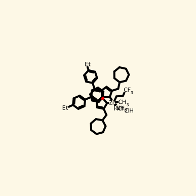 CCc1ccc(-c2cccc3c2C=C(CC2CCCCCC2)[CH]3[Zr]([CH3])(=[SiH2])([CH2]CC(F)(F)F)[CH]2C(CC3CCCCCC3)=Cc3c(-c4ccc(CC)cc4)cccc32)cc1.Cl.Cl